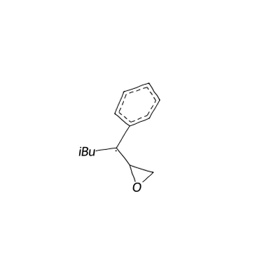 CCC(C)[C](c1ccccc1)C1CO1